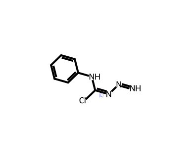 N=N/N=C(/Cl)Nc1ccccc1